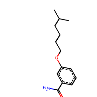 CC(C)CCCCOc1cccc(C(N)=O)c1